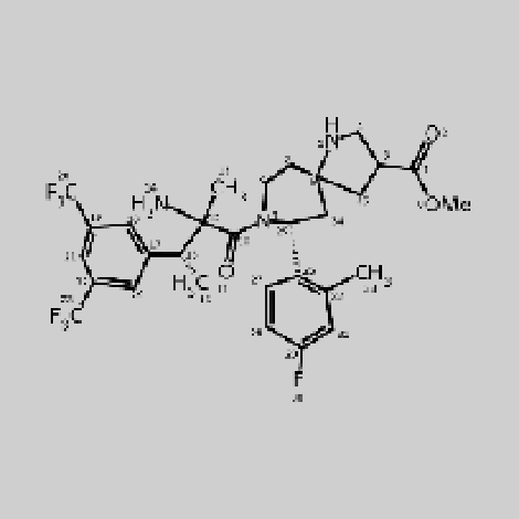 COC(=O)C1CN[C@]2(CCN(C(=O)C(C)(N)[C@H](C)c3cc(C(F)(F)F)cc(C(F)(F)F)c3)[C@@H](c3ccc(F)cc3C)C2)C1